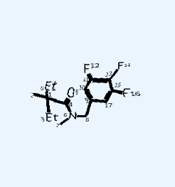 CCC(C)(CC)C(=O)N(C)Cc1cc(F)c(F)c(F)c1